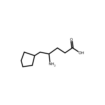 NC(CCC(=O)O)CC1CCCC1